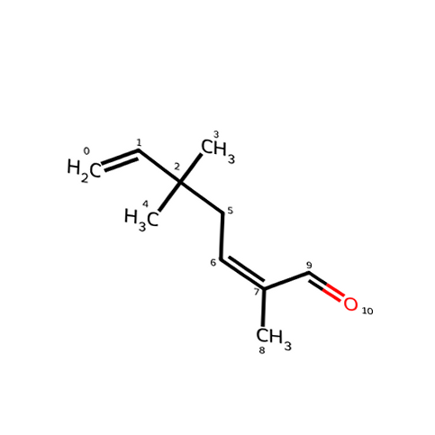 C=CC(C)(C)CC=C(C)C=O